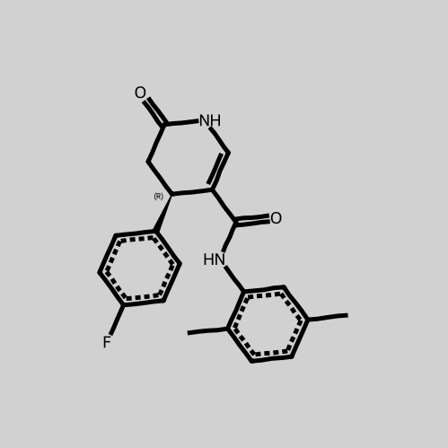 Cc1ccc(C)c(NC(=O)C2=CNC(=O)C[C@@H]2c2ccc(F)cc2)c1